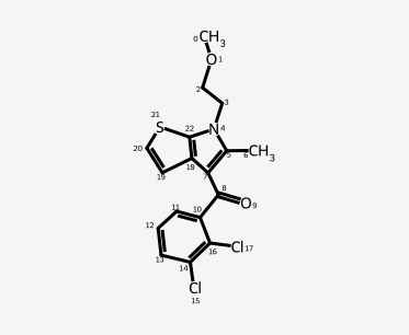 COCCn1c(C)c(C(=O)c2cccc(Cl)c2Cl)c2ccsc21